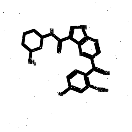 CNc1cc(Cl)ccc1C(=N)c1cnc2[nH]cc(C(=O)NC3CCCC(N)C3)c2n1